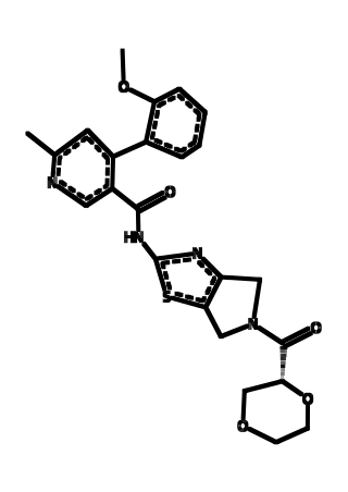 COc1ccccc1-c1cc(C)ncc1C(=O)Nc1nc2c(s1)CN(C(=O)[C@H]1COCCO1)C2